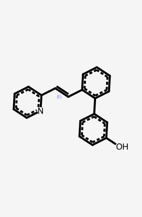 Oc1cccc(-c2ccccc2/C=C/c2ccccn2)c1